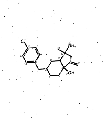 C=CC1(O)CCC(Cc2ccc(Cl)cc2)CC1C(C)(C)N